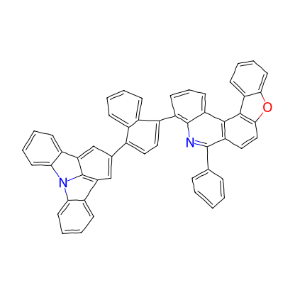 c1ccc(-c2nc3c(-c4ccc(-c5cc6c7ccccc7n7c8ccccc8c(c5)c67)c5ccccc45)cccc3c3c2ccc2oc4ccccc4c23)cc1